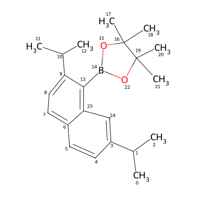 CC(C)c1ccc2ccc(C(C)C)c(B3OC(C)(C)C(C)(C)O3)c2c1